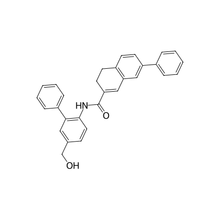 O=C(Nc1ccc(CO)cc1-c1ccccc1)C1=Cc2cc(-c3ccccc3)ccc2CC1